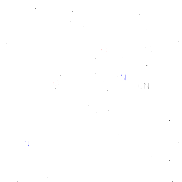 N#CN(C(=O)C1CC1)c1ccc2c(c1)OCc1cnccc1-2